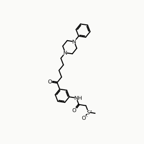 C[S+]([O-])CC(=O)Nc1cccc(C(=O)CCCCN2CCN(c3ccccc3)CC2)c1